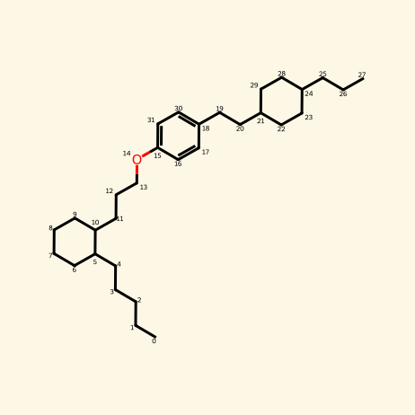 CCCCCC1CCCCC1CCCOc1ccc(CCC2CCC(CCC)CC2)cc1